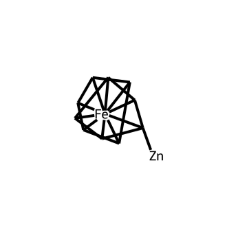 [Zn][C]12[CH]3[CH]4[CH]5[CH]1[Fe]45321678[CH]2[CH]1[CH]6[CH]7[CH]28